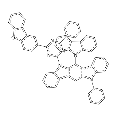 c1ccc(-c2nc(-c3ccc4oc5ccccc5c4c3)nc(-n3c4ccccc4c4cc5c(c(-n6c7ccccc7c7ccccc76)c43)c3ccccc3n5-c3ccccc3)n2)cc1